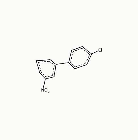 O=[N+]([O-])c1cccc(-c2ccc(Cl)cc2)c1